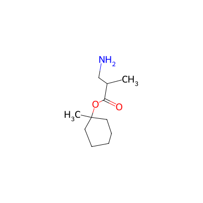 CC(CN)C(=O)OC1(C)CCCCC1